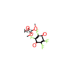 CO[SiH](OC)OC.O=C1C(F)=C(F)C(=O)C(F)=C1F